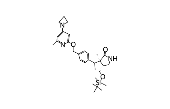 Cc1cc(N2CCC2)cc(OCc2ccc(C(C)[C@@]3(C)C(=O)NC[C@@H]3CO[Si](C)(C)C(C)(C)C)cc2)n1